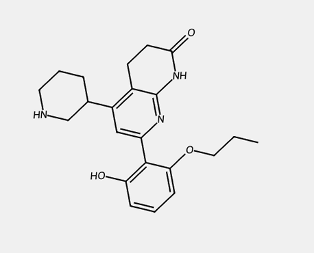 CCCOc1cccc(O)c1-c1cc(C2CCCNC2)c2c(n1)NC(=O)CC2